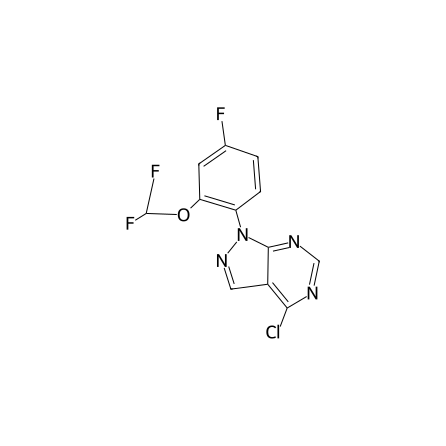 Fc1ccc(-n2ncc3c(Cl)ncnc32)c(OC(F)F)c1